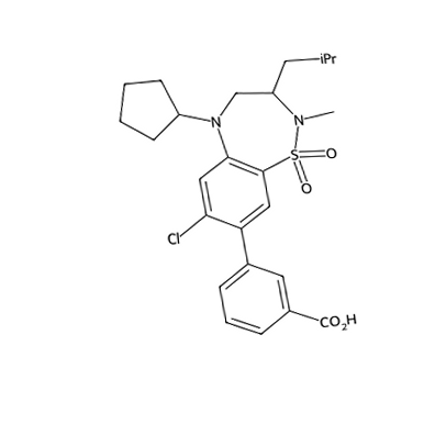 CC(C)CC1CN(C2CCCC2)c2cc(Cl)c(-c3cccc(C(=O)O)c3)cc2S(=O)(=O)N1C